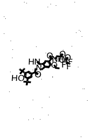 CCOc1cc2c(cc1C(=O)NCC(=O)OC(=O)C(F)(F)F)C(=N)N(CC(=O)c1cc(C(C)(C)C)c(O)c(C(C)(C)C)c1)C2